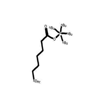 CCCCCCCCCCCCCCCC(=O)OP(CCCC)(CCCC)(CCCC)CCCC